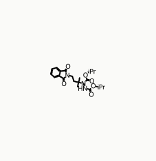 CC(C)OC(=O)NN(C(=O)OC(C)C)C(C)(C)CCN1C(=O)c2ccccc2C1=O